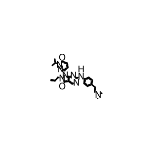 C=CCn1c(=O)c2cnc(Nc3ccc(CCN(C)C)cc3)nc2n1-c1ccc(=O)n(C(C)C)n1